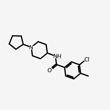 Cc1ccc(C(=O)NC2CCN(C3CCCC3)CC2)cc1Cl